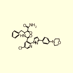 NC(=O)C(=O)C(Cc1ccccc1)NC(=O)c1cc(Cl)cnc1-n1ccc(-c2ccc(N3CCOCC3)cc2)n1